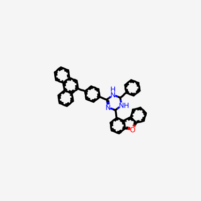 c1ccc(C2NC(c3ccc(-c4cc5ccccc5c5ccccc45)cc3)=NC(c3cccc4oc5ccccc5c34)N2)cc1